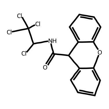 O=C(NC(Cl)C(Cl)(Cl)Cl)C1c2ccccc2Oc2ccccc21